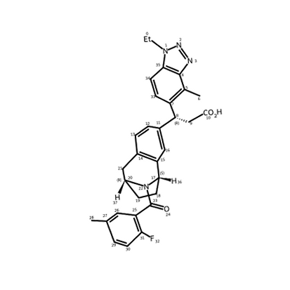 CCn1nnc2c(C)c([C@H](CC(=O)O)c3ccc4c(c3)[C@@H]3CC[C@H](C4)N3C(=O)c3cc(C)ccc3F)ccc21